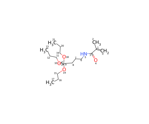 C=C(C)C(=O)NCCC[Si](OCCC)(OCCC)OCCC